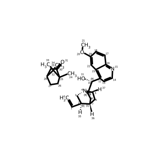 C=C[C@H]1C[N@]2CC[C@H]1C[C@H]2[C@H](O)c1ccnc2ccc(OC)cc12.CC12CCC(CC1=O)C2(C)C